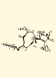 [N-]=[N+]=NC1CCN(c2[nH]ncc2[N+](=O)[O-])CC(O)C1